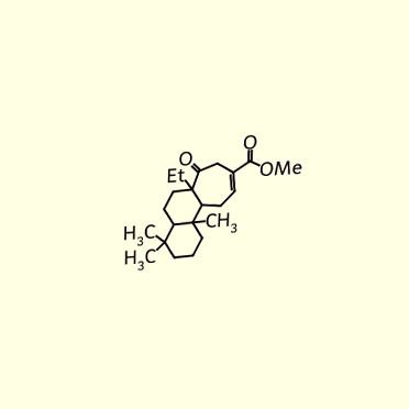 CCC12CCC3C(C)(C)CCCC3(C)C1CC=C(C(=O)OC)CC2=O